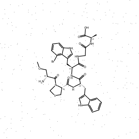 COC[C@@H](N)C(=O)N1CSC[C@H]1C(=O)N[C@@H](Cc1c[nH]c2ccccc12)C(=O)N[C@@H](Cc1c[nH]c2cccc(Br)c12)C(=O)NCC(=O)N[C@H](C)C(=O)O